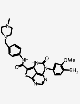 Bc1ccc(N2C(=O)Nc3c(C(=O)Nc4ccc(CN5CCN(C)CC5)cc4)sc4ncnc2c34)cc1OC